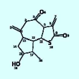 C=C1CC(=O)C2C(=C)C(=O)SC2C2C1CC(O)C2C